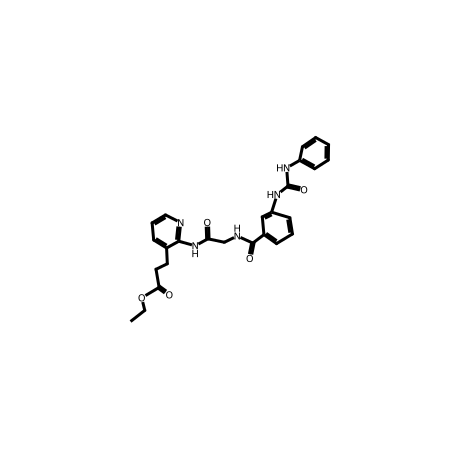 CCOC(=O)CCc1cccnc1NC(=O)CNC(=O)c1cccc(NC(=O)Nc2ccccc2)c1